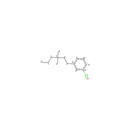 [CH2]CCC(C)(C)CCc1cccc(Cl)c1